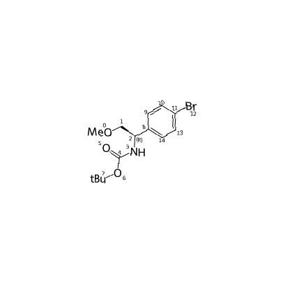 COC[C@H](NC(=O)OC(C)(C)C)c1ccc(Br)cc1